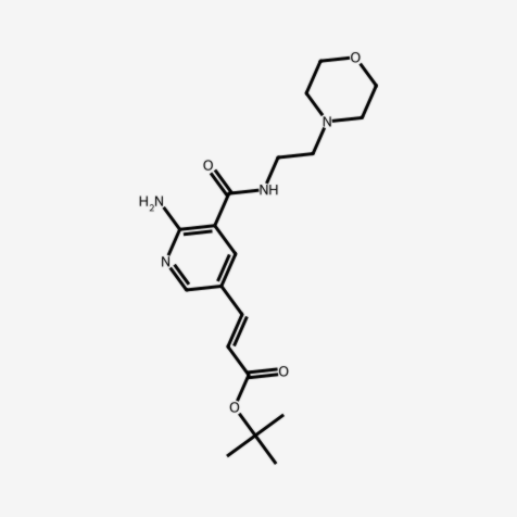 CC(C)(C)OC(=O)/C=C/c1cnc(N)c(C(=O)NCCN2CCOCC2)c1